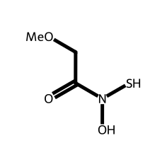 COCC(=O)N(O)S